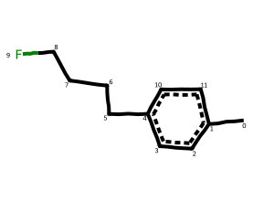 Cc1ccc(CCCCF)cc1